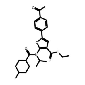 CCOC(=O)c1cc(-c2ccc(C(C)=O)cc2)oc1N(C(=O)C1CCC(C)CC1)C(C)C